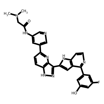 CN(C)CC(=O)Nc1cncc(-c2ccc3[nH]nc(-c4cc5c(-c6cc(O)cc(F)c6)nccc5[nH]4)c3n2)c1